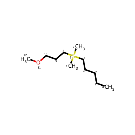 CCCCCS(C)(C)CCCOC